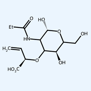 C=C[C@@H](OC1C(NC(=O)CC)[C@H](O)OC(CO)[C@H]1O)C(=O)O